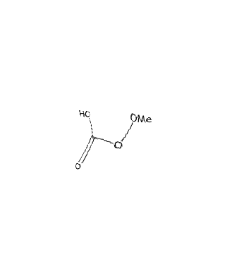 COOC(=O)O